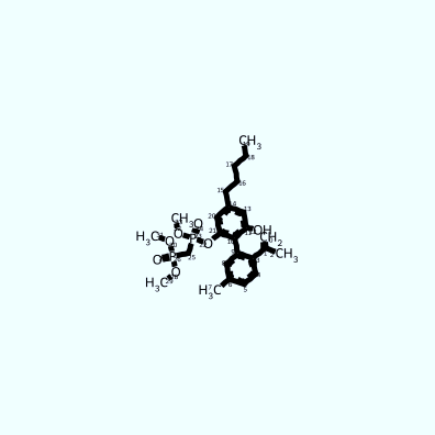 C=C(C)c1ccc(C)cc1-c1c(O)cc(CCCCC)cc1OP(=O)(CP(=O)(OC)OC)OC